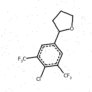 FC(F)(F)c1cc([C]2CCCO2)cc(C(F)(F)F)c1Cl